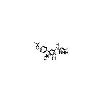 [C-]#[N+]c1c(-c2ccc(OC(C)C)cc2)cc(Nc2cc(C)[nH]n2)nc1Cl